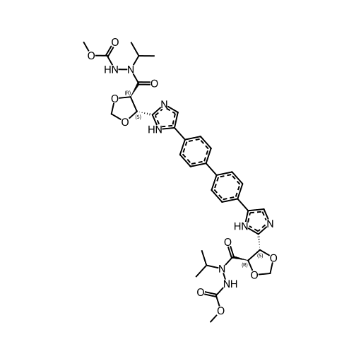 COC(=O)NN(C(=O)[C@@H]1OCO[C@H]1c1ncc(-c2ccc(-c3ccc(-c4cnc([C@@H]5OCO[C@H]5C(=O)N(NC(=O)OC)C(C)C)[nH]4)cc3)cc2)[nH]1)C(C)C